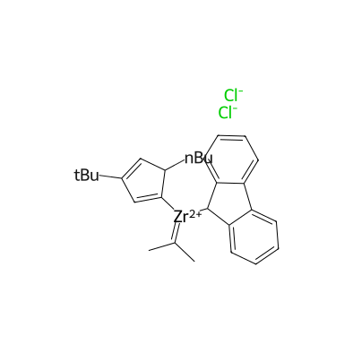 CCCCC1C=C(C(C)(C)C)C=[C]1[Zr+2](=[C](C)C)[CH]1c2ccccc2-c2ccccc21.[Cl-].[Cl-]